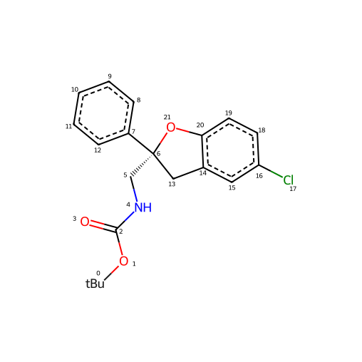 CC(C)(C)OC(=O)NC[C@@]1(c2ccccc2)Cc2cc(Cl)ccc2O1